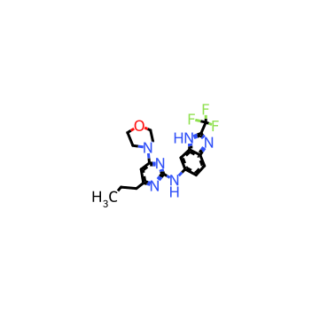 CCCc1cc(N2CCOCC2)nc(Nc2ccc3nc(C(F)(F)F)[nH]c3c2)n1